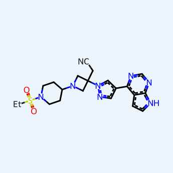 CCS(=O)(=O)N1CCC(N2CC(CC#N)(n3cc(-c4ncnc5[nH]ccc45)cn3)C2)CC1